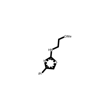 COCCNc1nc(C(C)C)cs1